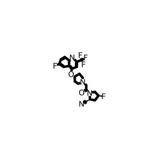 N#C[C@@H]1C[C@H](F)CN1C(=O)CN1CCC(Oc2cc(C(F)(F)F)nc3ccc(F)cc23)CC1